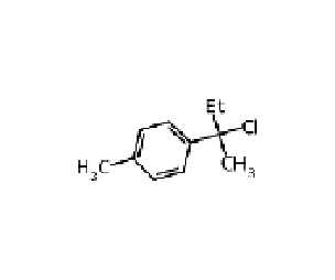 CCC(C)(Cl)c1ccc(C)cc1